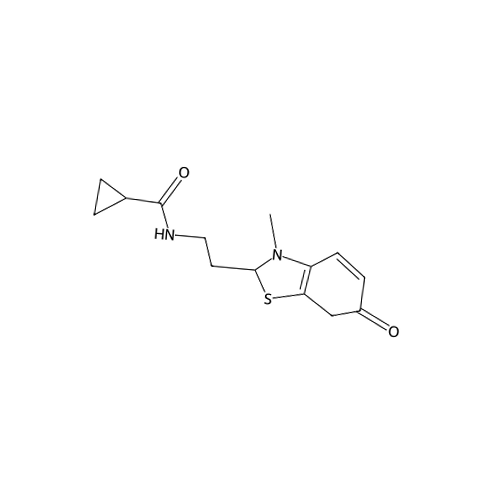 CN1C2=C(CC(=O)C=C2)SC1CCNC(=O)C1CC1